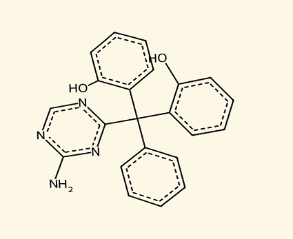 Nc1ncnc(C(c2ccccc2)(c2ccccc2O)c2ccccc2O)n1